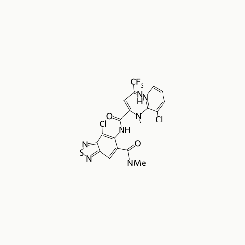 CNC(=O)c1cc2nsnc2c(Cl)c1NC(=O)/C(=C/C(=N)C(F)(F)F)N(C)c1ncccc1Cl